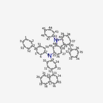 c1ccc(-c2ccc(N(c3ccc(-c4cccc5ccccc45)cc3)c3ccc4c5c(-c6ccccc6)cccc5n(-c5ccccc5)c4c3)cc2)cc1